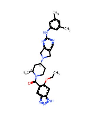 CCOc1cc2[nH]nnc2cc1C(=O)N1CC[C@H](N2Cc3cnc(Nc4cc(C)cc(C)c4)nc3C2)C[C@@H]1C